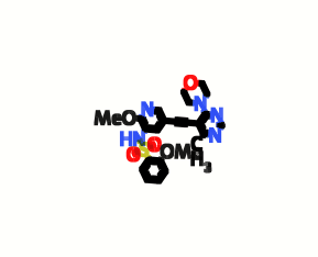 COc1ccccc1S(=O)(=O)Nc1cc(C#Cc2c(C)ncnc2N2CCOCC2)cnc1OC